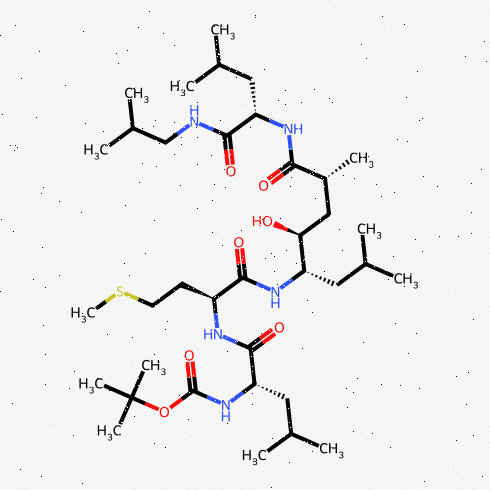 CSCC[C@H](NC(=O)[C@H](CC(C)C)NC(=O)OC(C)(C)C)C(=O)N[C@@H](CC(C)C)[C@@H](O)C[C@@H](C)C(=O)N[C@@H](CC(C)C)C(=O)NCC(C)C